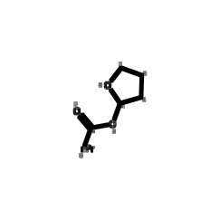 CCCC(=O)OC1CCCO1